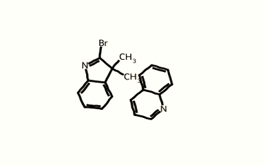 CC1(C)C(Br)=Nc2ccccc21.c1ccc2ncccc2c1